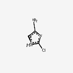 CCCc1c[nH]c(Cl)n1